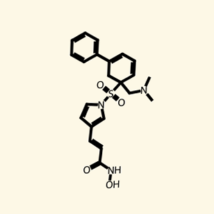 CN(C)CC1(S(=O)(=O)n2ccc(C=CC(=O)NO)c2)C=CC=C(c2ccccc2)C1